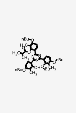 C=C(C)C(=O)Oc1c(-c2nc(-c3ccc(OCCCC)c(C)c3O)nc(-c3ccc(OCCCC)c(C)c3OCCCC)n2)ccc(OCCCC)c1C